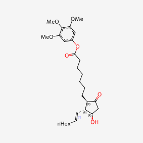 CCCCCC/C=C/[C@H]1[C@H](O)CC(=O)[C@@H]1CCCCCCC(=O)Oc1cc(OC)c(OC)c(OC)c1